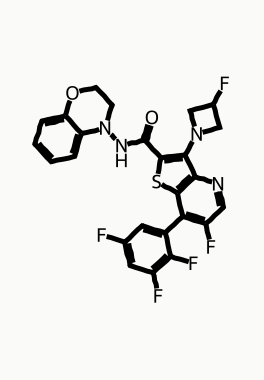 O=C(NN1CCOc2ccccc21)c1sc2c(-c3cc(F)cc(F)c3F)c(F)cnc2c1N1CC(F)C1